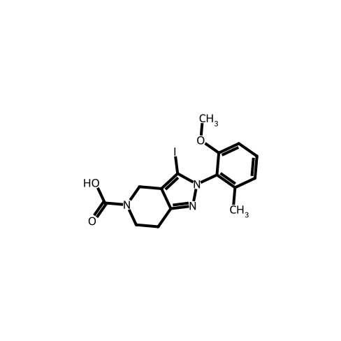 COc1cccc(C)c1-n1nc2c(c1I)CN(C(=O)O)CC2